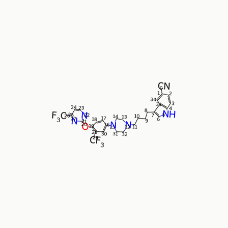 N#Cc1ccc2[nH]cc(CCCCN3CCN(c4ccc(Oc5nccc(C(F)(F)F)n5)c(C(F)(F)F)c4)CC3)c2c1